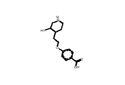 O=C(O)c1ccc(OCCC2CCNCC2O)cc1